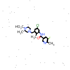 Cc1ncc(C(=O)Nc2cc(Cl)cc(CN3CCN(C(=O)O)[C@@H](C)C3)c2C)cc1F